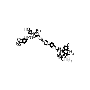 Cc1ncsc1-c1ccc(CNC(=O)[C@@H]2C[C@@H](O)CN2C(=O)C(NC(=O)COCCN2CCN(c3ccc(CNC(=O)C[C@@H]4N=C(c5ccc(Cl)cc5)c5c(sc(C)c5C)-n5c(C)nnc54)cc3)CC2)C(C)(C)C)cc1